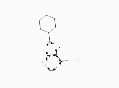 Oc1ncnc2sc(C3CCCCC3)nc12